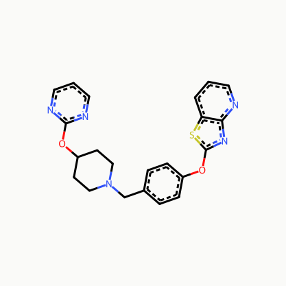 c1cnc(OC2CCN(Cc3ccc(Oc4nc5ncccc5s4)cc3)CC2)nc1